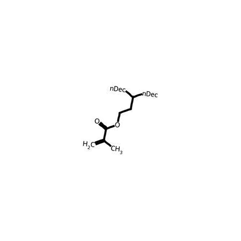 C=C(C)C(=O)OCC[C](CCCCCCCCCC)CCCCCCCCCC